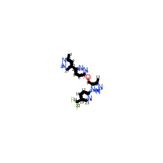 Cc1cc(-c2ccc(OCc3c(C)nnn3-c3ccc(C(F)F)cn3)nn2)cnn1